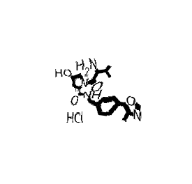 Cc1ncoc1-c1ccc(CNC(=O)[C@@H]2C[C@@H](O)CN2C(=O)C(N)C(C)C)cc1.Cl